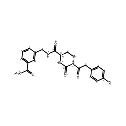 COC(=O)c1cccc(CNC(=O)[C@@H](CC(C)C)NC(=N)NC(=O)Cc2ccc(Cl)cc2)c1